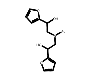 CC(=O)N(CC(O)c1ccco1)CC(O)c1ccco1